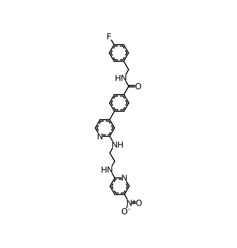 O=C(NCc1ccc(F)cc1)c1ccc(-c2ccnc(NCCNc3ccc([N+](=O)[O-])cn3)c2)cc1